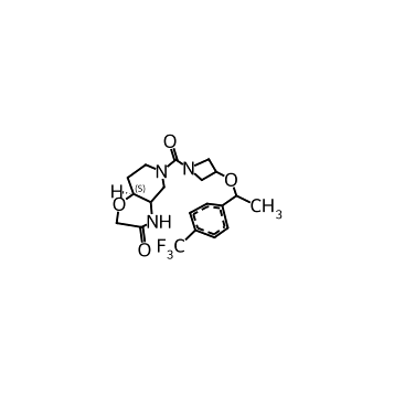 CC(OC1CN(C(=O)N2CC[C@@H]3OCC(=O)NC3C2)C1)c1ccc(C(F)(F)F)cc1